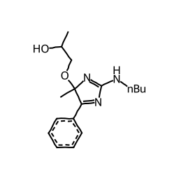 CCCCNC1=NC(C)(OCC(C)O)C(c2ccccc2)=N1